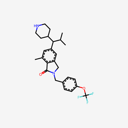 Cc1cc(C(C(C)C)C2CCNCC2)cc2c1C(=O)N(Cc1ccc(OC(F)(F)F)cc1)C2